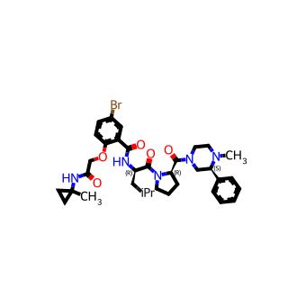 CC(C)C[C@@H](NC(=O)c1cc(Br)ccc1OCC(=O)NC1(C)CC1)C(=O)N1CCC[C@@H]1C(=O)N1CCN(C)[C@@H](c2ccccc2)C1